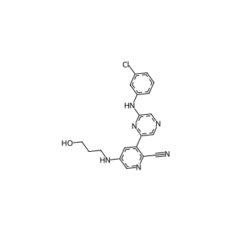 N#Cc1ncc(NCCCO)cc1-c1cncc(Nc2cccc(Cl)c2)n1